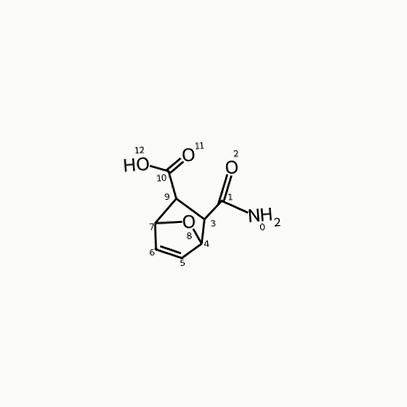 NC(=O)C1C2C=CC(O2)C1C(=O)O